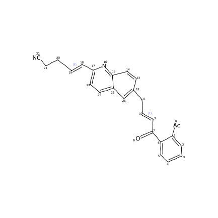 CC(=O)c1ccccc1C(=O)/C=C/Cc1ccc2nc(/C=C/CCC#N)ccc2c1